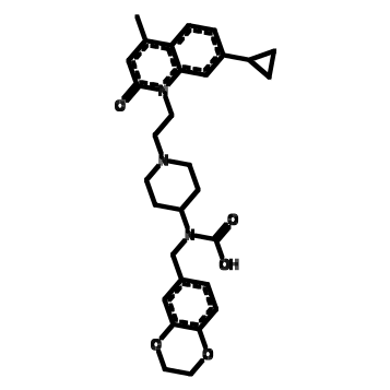 Cc1cc(=O)n(CCN2CCC(N(Cc3ccc4c(c3)OCCO4)C(=O)O)CC2)c2cc(C3CC3)ccc12